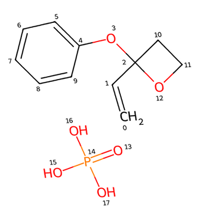 C=CC1(Oc2ccccc2)CCO1.O=P(O)(O)O